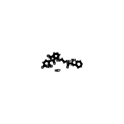 Cl.N[C@@H](CC1CCCCC1)C(=O)NCCNc1cccc2c1C(=O)N(C1CCC(=O)NC1=O)C2=O